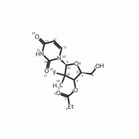 CCC(=O)OC1[C@H](CO)O[C@H](n2ccc(=O)[nH]c2=O)C1(C)F